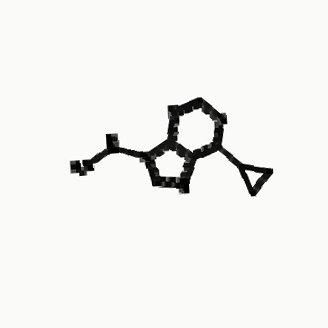 NNn1cnc2c(C3CC3)ncnc21